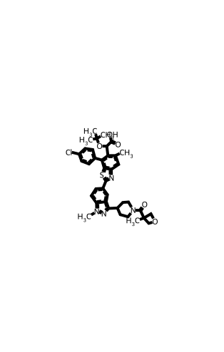 Cc1cc2nc(-c3ccc4c(c3)c(C3CCN(C(=O)C5(C)COC5)CC3)nn4C)sc2c(-c2ccc(Cl)cc2)c1C(OC(C)(C)C)C(=O)O